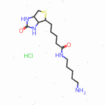 Cl.NCCCCCNC(=O)CCCCC1SCC2NC(=O)NC21